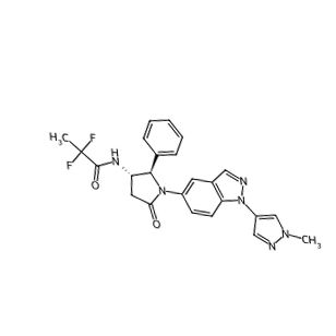 Cn1cc(-n2ncc3cc(N4C(=O)C[C@H](NC(=O)C(C)(F)F)[C@H]4c4ccccc4)ccc32)cn1